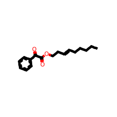 CCCCCC=CCCOC(=O)C(=O)c1ccccc1